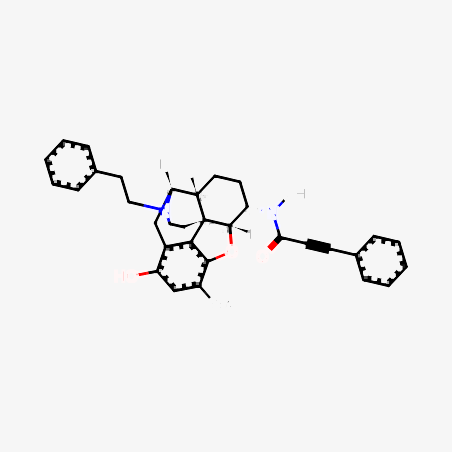 CC(=O)Oc1cc(O)c2c3c1O[C@H]1[C@@H](N(C)C(=O)C#Cc4ccccc4)CC[C@H]4[C@@H](C2)N(CCc2ccccc2)CC[C@@]341